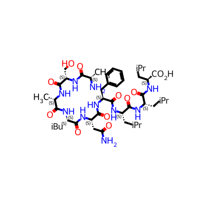 CC[C@H](C)[C@H](NC(=O)[C@H](C)NC(=O)[C@H](CO)NC(=O)[C@H](C)N)C(=O)N[C@@H](CC(N)=O)C(=O)N[C@@H](Cc1ccccc1)C(=O)N[C@@H](CC(C)C)C(=O)N[C@@H](CC(C)C)C(=O)N[C@@H](CC(C)C)C(=O)O